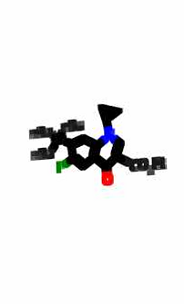 CCC[CH2][Sn]([CH2]CCC)([CH2]CCC)[c]1cc2c(cc1F)c(=O)c(C(=O)OCC)cn2C1CC1